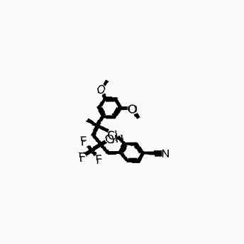 COc1cc(OC)cc(C(C)(C)CC(O)(Cc2ccc(C#N)cc2Cl)C(F)(F)F)c1